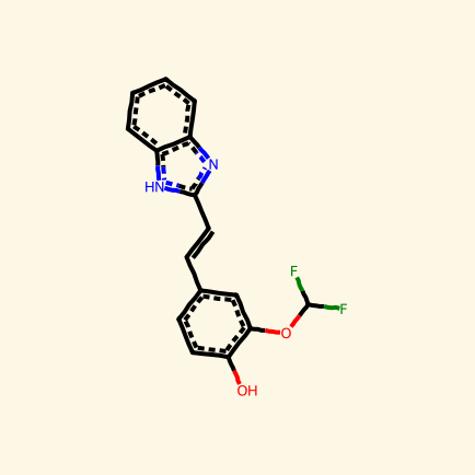 Oc1ccc(/C=C/c2nc3ccccc3[nH]2)cc1OC(F)F